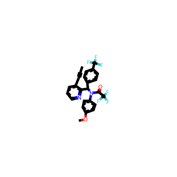 CC#Cc1cccnc1C(c1ccc(C(F)(F)F)cc1)N(C(=O)C(F)(F)F)c1ccc(OC)cc1